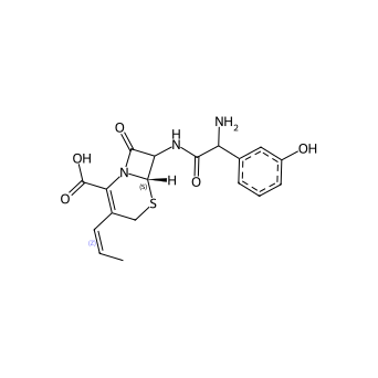 C/C=C\C1=C(C(=O)O)N2C(=O)C(NC(=O)C(N)c3cccc(O)c3)[C@@H]2SC1